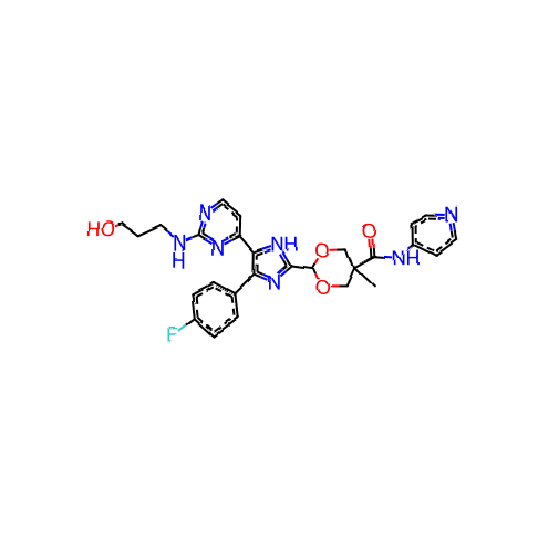 CC1(C(=O)Nc2ccncc2)COC(c2nc(-c3ccc(F)cc3)c(-c3ccnc(NCCCO)n3)[nH]2)OC1